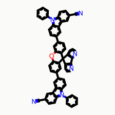 N#Cc1ccc2c(c1)c1cc(-c3ccc4c(c3)Oc3ccc(-c5ccc6c(c5)c5cc(C#N)ccc5n6-c5ccccc5)cc3C43c4cccnc4-c4ncccc43)ccc1n2-c1ccccc1